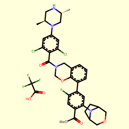 COC(=O)c1cc(F)c(-c2cccc3c2OCN(C(=O)c2c(Cl)cc(N4C[C@@H](C)NC[C@@H]4C)cc2Cl)C3)cc1N1C2CCC1COC2.O=C(O)C(F)(F)F